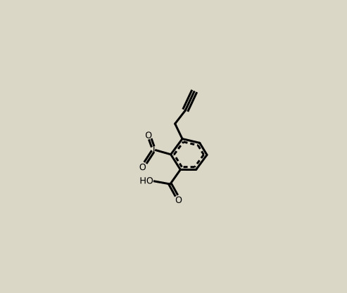 C#CCc1cccc(C(=O)O)c1I(=O)=O